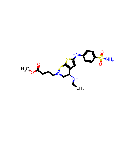 CCN[C@H]1CN(CCCC(=O)OC)Sc2sc(Nc3ccc(S(N)(=O)=O)cc3)cc21